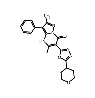 Cc1[nH]c2c(-c3ccccc3)c(C(F)(F)F)nn2c(=O)c1-c1nnc(C2CCOCC2)o1